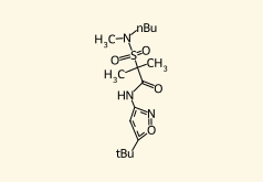 CCCCN(C)S(=O)(=O)C(C)(C)C(=O)Nc1cc(C(C)(C)C)on1